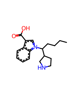 CCCCC(C1CCNC1)n1cc(C(=O)O)c2ccccc21